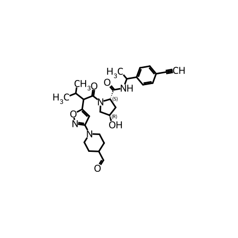 C#Cc1ccc(C(C)NC(=O)[C@@H]2C[C@@H](O)CN2C(=O)C(c2cc(N3CCC(C=O)CC3)no2)C(C)C)cc1